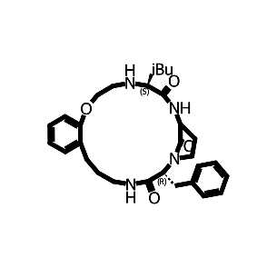 CCC(C)[C@@H]1NCCOc2ccccc2CCCNC(=O)[C@@H](Cc2ccccc2)N2CCC(NC1=O)C2=O